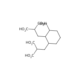 CCCCCCC1CCCC(CC(C(=O)O)C(=O)O)C1CC(C(=O)O)C(=O)O